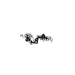 CC(C)(C)OC(=O)N1CCC[C@H]1C(=O)OCC(=O)c1ccc2c(c1)CCCc1cc(C(=O)COC(=O)[C@@H]3CCCN3C(=O)OC(C)(C)C)sc1-2